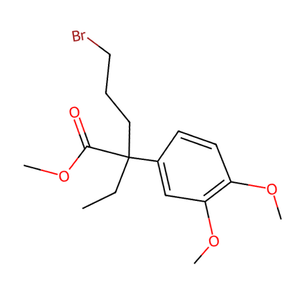 CCC(CCCBr)(C(=O)OC)c1ccc(OC)c(OC)c1